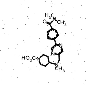 CN(C)C(=O)c1ccc(-c2cnc(CN(C)C3CCN(C(=O)O)CC3)cn2)cc1